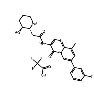 Cc1cc(-c2cccc(F)c2)cn2c(=O)c(NC(=O)C[C@H]3NCCC[C@@H]3O)cnc12.O=C(O)C(F)(F)F